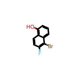 Oc1cccc2c(Br)c(F)ccc12